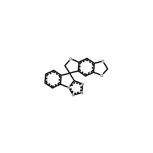 c1ccc2c(c1)-n1nnnc1C21COc2cc3c(cc21)OCO3